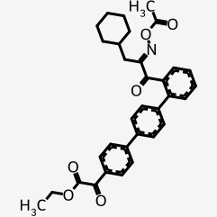 CCOC(=O)C(=O)c1ccc(-c2ccc(-c3ccccc3C(=O)C(CC3CCCCC3)=NOC(C)=O)cc2)cc1